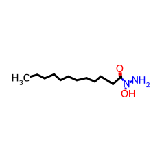 CCCCCCCCCCCC(=O)N(N)O